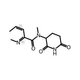 C/C=C\C(=N/C)C(=O)N(C)C1CCC(=O)NC1=O